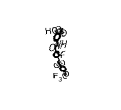 CS(=O)(=O)c1cc(NC(=O)c2ccc(CCS(=O)(=O)c3ccc(OC(F)(F)F)cc3)c(F)c2)ccc1O